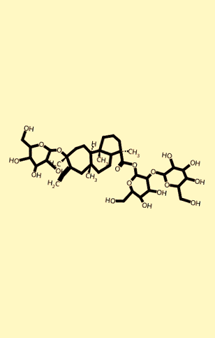 C=C=C1C[C@@]2(C)CCC3[C@](C)(C(=O)OC4OC(CO)C(O)C(O)C4OC4OC(CO)C(O)C(O)C4O)CCC[C@@]3(C)[C@@H]2CC[C@@]1(C)OC1OC(CO)C(O)C(O)C1O